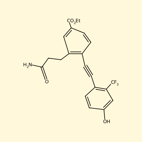 CCOC(=O)c1ccc(C#Cc2ccc(O)cc2C(F)(F)F)c(CCC(N)=O)c1